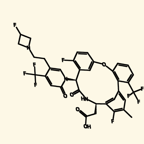 Cc1cc2cc(c1F)[C@@H](CC(=O)O)NC(=O)[C@@H](n1cc(CCN3CC(F)C3)c(C(F)(F)F)cc1=O)c1cc(ccc1F)Oc1cccc(C(F)(F)F)c1-2